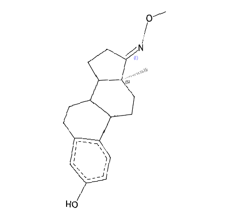 CO/N=C1\CCC2C3CCc4cc(O)ccc4C3CC[C@]12C